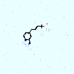 Cn1cc2cc(CC=CC(C)(C)[S@@+](N)[O-])ccc2n1